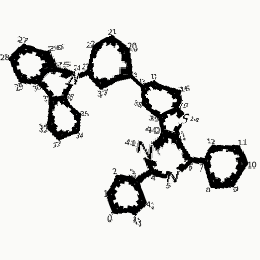 c1ccc(-c2nc(-c3ccccc3)c3sc4ccc(-c5cccc(-n6c7ccccc7c7ccccc76)c5)cc4c3n2)cc1